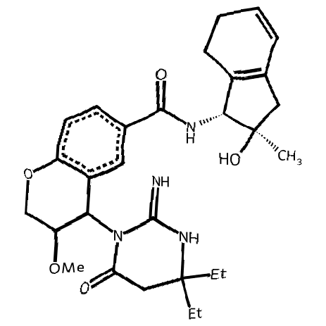 CCC1(CC)CC(=O)N(C2c3cc(C(=O)N[C@@H]4C5=C(C=CCC5)C[C@@]4(C)O)ccc3OCC2OC)C(=N)N1